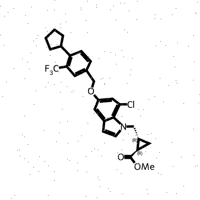 COC(=O)[C@@H]1C[C@H]1Cn1ccc2cc(OCc3ccc(C4CCCC4)c(C(F)(F)F)c3)cc(Cl)c21